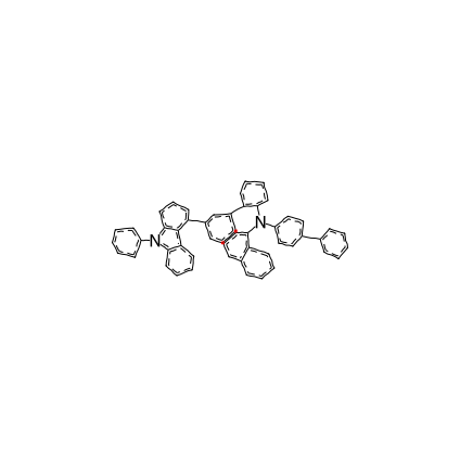 c1ccc(-c2ccc(N(c3ccccc3-c3cccc(-c4cccc5c4c4ccccc4n5-c4ccccc4)c3)c3cccc4ccccc34)cc2)cc1